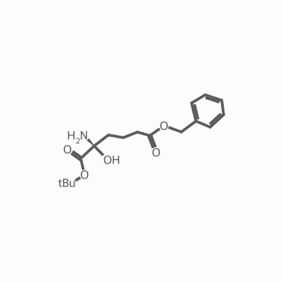 CC(C)(C)OC(=O)[C@@](N)(O)CCCC(=O)OCc1ccccc1